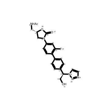 CC(=O)NC[C@H]1CN(c2ccc(-c3ccc([C@H](CO)n4ccnn4)cc3)c(F)c2)C(=O)O1